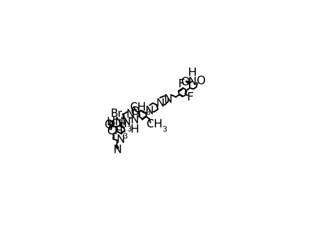 CCc1cc(Nc2ncc(Br)c(Nc3ccc4nc(C#N)ccc4c3P(C)(C)=O)n2)c(OC)cc1N1CCC(N2CCN(CCc3cc(F)c(C4CCC(=O)NC4=O)c(F)c3)CC2)CC1